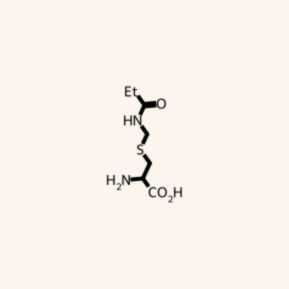 CCC(=O)NCSCC(N)C(=O)O